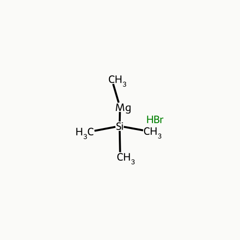 Br.[CH3][Mg][Si](C)(C)C